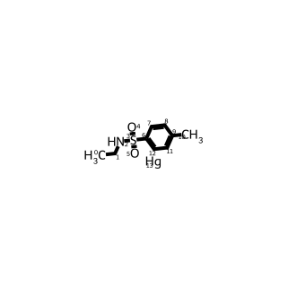 CCNS(=O)(=O)c1ccc(C)cc1.[Hg]